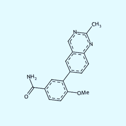 COc1ccc(C(N)=O)cc1-c1ccc2nc(C)ncc2c1